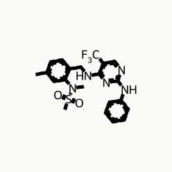 Cc1ccc(CNc2nc(Nc3ccccc3)ncc2C(F)(F)F)c(N(C)S(C)(=O)=O)c1